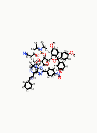 COc1ccc(C(OC[C@H]2O[C@@H](n3c(-c4ccc([N+](=O)[O-])cc4)nc4c(/C=C/c5ccccc5)ncnc43)[C@H](O[Si](C)(C)C(C)(C)C)[C@@H]2OP(OCCC#N)N(C(C)C)C(C)C)(c2ccccc2)c2ccc(OC)cc2)cc1